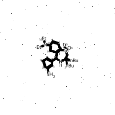 CCCCC1(CCCC)CS(=O)(=O)c2ccc(N(CC)CC)cc2C(c2cccc(N)c2)N1